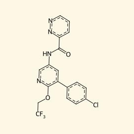 O=C(Nc1cnc(OCC(F)(F)F)c(-c2ccc(Cl)cc2)c1)c1cccnn1